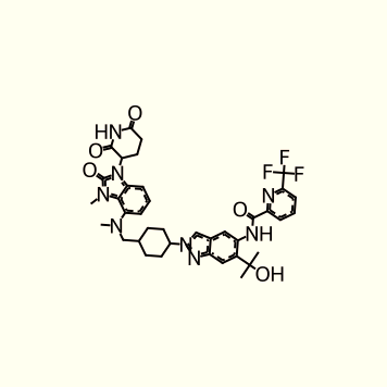 CN(CC1CCC(n2cc3cc(NC(=O)c4cccc(C(F)(F)F)n4)c(C(C)(C)O)cc3n2)CC1)c1cccc2c1n(C)c(=O)n2C1CCC(=O)NC1=O